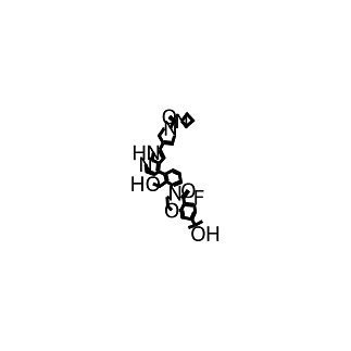 CC(C)(O)c1cc(F)c2c(c1)OCCN(c1cccc(-c3ccnc4[nH]c(C5=CCN(C(=O)N6CCC6)CC5)cc34)c1CO)C2=O